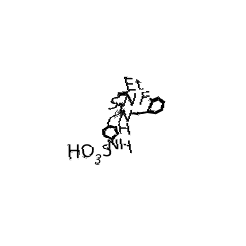 CCc1csc([C@H](Cc2ccc(NS(=O)(=O)O)cc2)NCCc2ccccc2F)n1